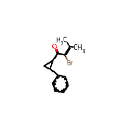 CC(C)=C(Br)C(=O)C1CC1c1ccccc1